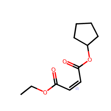 CCOC(=O)/C=C\C(=O)OC1CCCC1